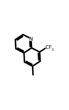 Cc1cc(C(F)(F)F)c2ncccc2c1